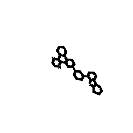 c1cc(-c2ccc3c4ccccc4c4nccnc4c3c2)cc(-c2cccc3c2sc2ccccc23)c1